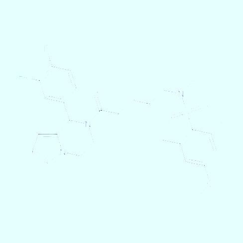 COc1cc(C)c(S(=O)(=O)N(C)CCOCC(=O)N2CCn3cccc3C2c2ccc(F)c(F)c2)c(C)c1